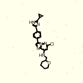 Clc1cc(NCC2CCCCO2)c2ncc(-c3ccc(-c4c[nH]c(C5CC5)n4)cc3)n2n1